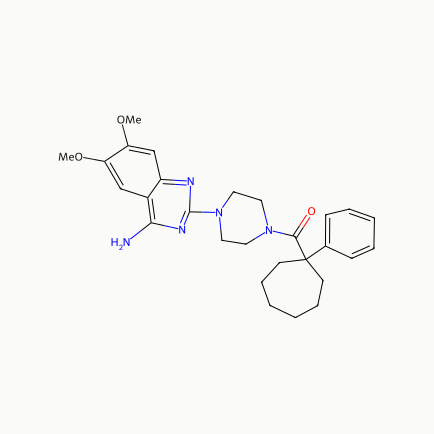 COc1cc2nc(N3CCN(C(=O)C4(c5ccccc5)CCCCCC4)CC3)nc(N)c2cc1OC